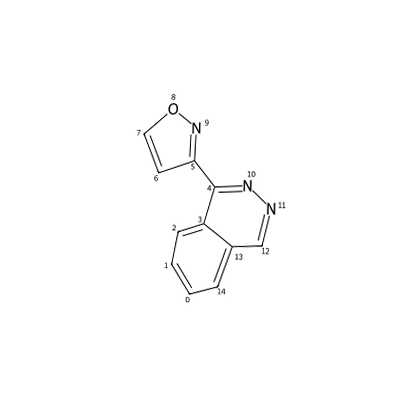 c1ccc2c(-c3ccon3)nncc2c1